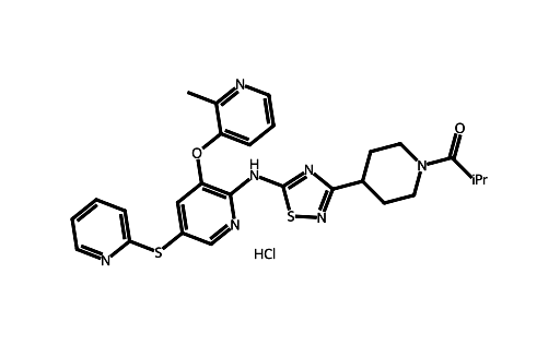 Cc1ncccc1Oc1cc(Sc2ccccn2)cnc1Nc1nc(C2CCN(C(=O)C(C)C)CC2)ns1.Cl